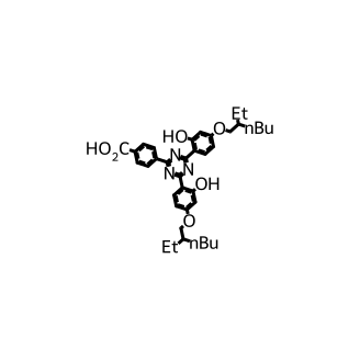 CCCCC(CC)COc1ccc(-c2nc(-c3ccc(C(=O)O)cc3)nc(-c3ccc(OCC(CC)CCCC)cc3O)n2)c(O)c1